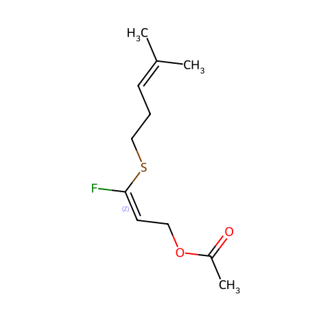 CC(=O)OC/C=C(/F)SCCC=C(C)C